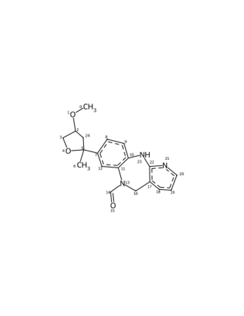 COC1COC(C)(c2ccc3c(c2)N(C=O)Cc2cccnc2N3)C1